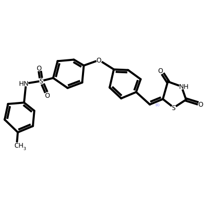 Cc1ccc(NS(=O)(=O)c2ccc(Oc3ccc(/C=C4/SC(=O)NC4=O)cc3)cc2)cc1